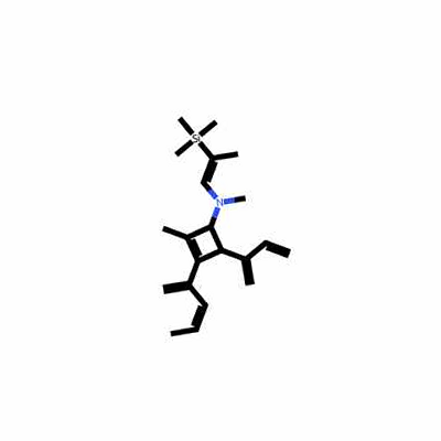 C=CC(=C)C1C(C(=C)/C=C\C)=C(C)C1N(C)/C=C(\C)[Si](C)(C)C